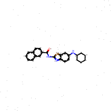 O=C(Nc1nc2ccc(NC3CCCCC3)cc2s1)c1ccc2ccccc2c1